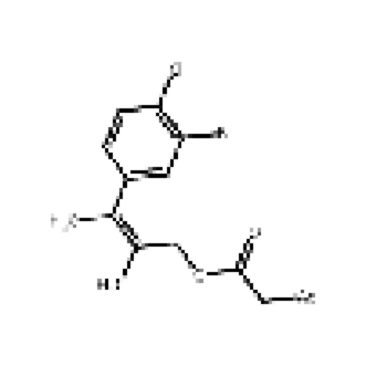 CC(=O)CC(=O)OCC(C)=C(C)c1ccc(Cl)c(Br)c1